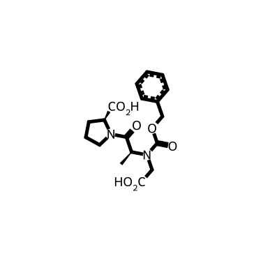 C[C@@H](C(=O)N1CCC[C@H]1C(=O)O)N(CC(=O)O)C(=O)OCc1ccccc1